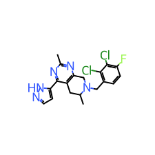 Cc1nc2c(c(-c3ccn[nH]3)n1)CC(C)N(Cc1ccc(F)c(Cl)c1Cl)C2